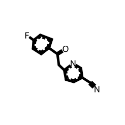 N#Cc1ccc(CC(=O)c2ccc(F)cc2)nc1